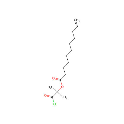 C=CCCCCCCCCC(=O)OC(C)(C)C(=O)Cl